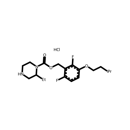 CCC1CNCCN1C(=O)OCc1c(F)ccc(OCCC(C)C)c1F.Cl